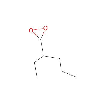 CCCC(CC)C1OO1